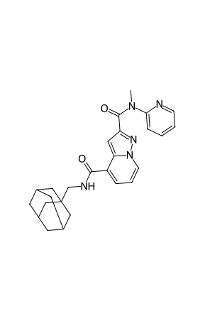 CN(C(=O)c1cc2c(C(=O)NCC34CC5CC(CC(C5)C3)C4)cccn2n1)c1ccccn1